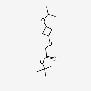 CC(C)OC1CC(OCC(=O)OC(C)(C)C)C1